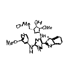 COC[C@H]1C[C@@H](Nc2nc(Nc3ccnc(OC)c3)ncc2-c2nc3ccccc3s2)[C@H](OC)[C@@H]1O